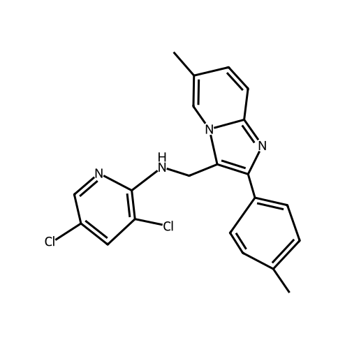 Cc1ccc(-c2nc3ccc(C)cn3c2CNc2ncc(Cl)cc2Cl)cc1